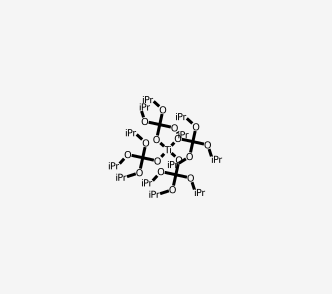 CC(C)OC(OC(C)C)(OC(C)C)[O][Ti]([O]C(OC(C)C)(OC(C)C)OC(C)C)([O]C(OC(C)C)(OC(C)C)OC(C)C)[O]C(OC(C)C)(OC(C)C)OC(C)C